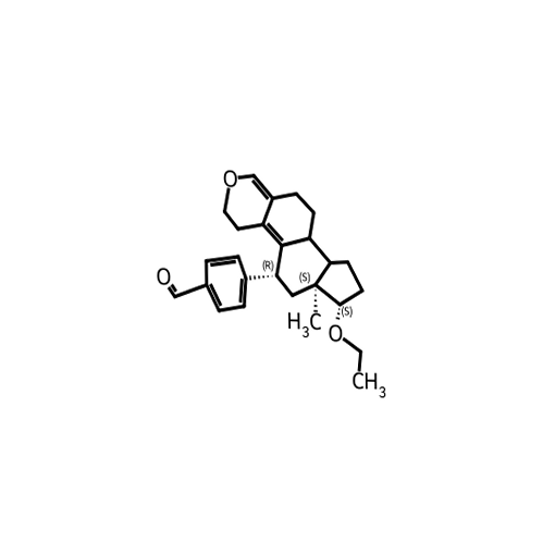 CCO[C@H]1CCC2C3CCC4=COCCC4=C3[C@@H](c3ccc(C=O)cc3)C[C@@]21C